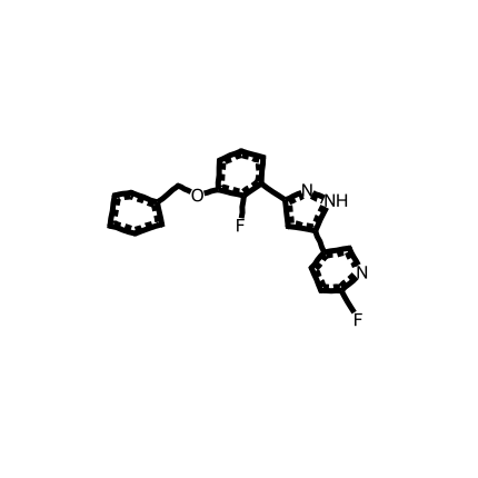 Fc1ccc(-c2cc(-c3cccc(OCc4ccccc4)c3F)n[nH]2)cn1